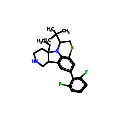 CCC12CCNCC1c1cc(-c3c(F)cccc3F)cc3c1N2C(C(C)(C)C)CS3